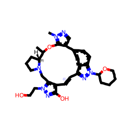 CC1Oc2c(cnn2C)-c2ccc3c(c2)c(nn3C2CCCCO2)/C=C/c2c(O)nn(CCO)c2CN2CCC[C@H]12